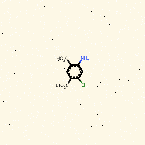 CCOC(=O)c1cc(C(=O)O)c(N)cc1Cl